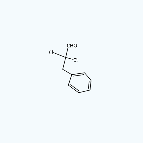 O=CC(Cl)(Cl)Cc1ccccc1